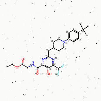 CCOC(=O)CNC(=O)c1nc(CC2CCN(c3ccc(C(C)(C)C)cc3)CC2)nc(C(F)F)c1O